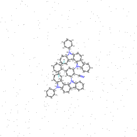 N#Cc1c(-n2c3ccccc3c3ccc4c(c5ccccc5n4-c4ccccc4)c32)cc(-c2c(F)cccc2F)cc1-n1c2ccccc2c2ccc3c(c4ccccc4n3-c3ccccc3)c21